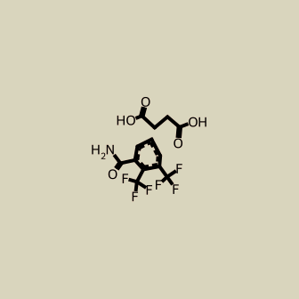 NC(=O)c1cccc(C(F)(F)F)c1C(F)(F)F.O=C(O)CCC(=O)O